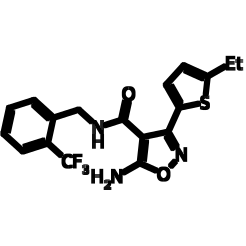 CCc1ccc(-c2noc(N)c2C(=O)NCc2ccccc2C(F)(F)F)s1